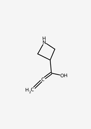 C=C=C(O)C1CNC1